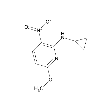 COc1ccc([N+](=O)[O-])c(NC2CC2)n1